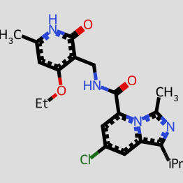 CCOc1cc(C)[nH]c(=O)c1CNC(=O)c1cc(Cl)cc2c(C(C)C)nc(C)n12